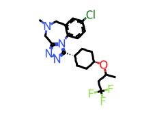 CC(CC(F)(F)F)O[C@H]1CC[C@H](c2nnc3n2-c2ccc(Cl)cc2CN(C)C3)CC1